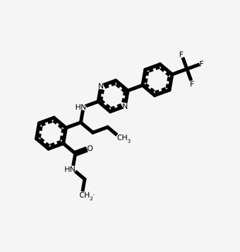 [CH2]CNC(=O)c1ccccc1C(CCC)Nc1cnc(-c2ccc(C(F)(F)F)cc2)cn1